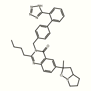 CCCCc1nc2ccc(C3(C)CC4CCCN4O3)cc2c(=O)n1Cc1ccc(-c2ccccc2-c2nnn[nH]2)cc1